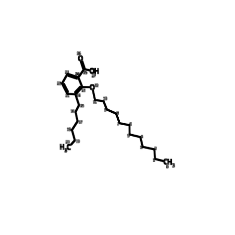 CCCCCCCCCCCCOc1c(CCCCCC)cccc1C(=O)O